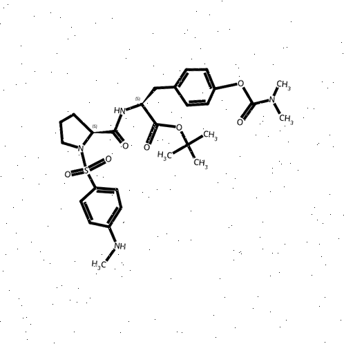 CNc1ccc(S(=O)(=O)N2CCC[C@H]2C(=O)N[C@@H](Cc2ccc(OC(=O)N(C)C)cc2)C(=O)OC(C)(C)C)cc1